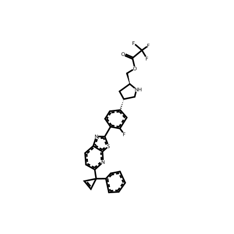 O=C(OC[C@@H]1C[C@@H](c2ccc(-c3nc4ccc(C5(c6ccccc6)C=C5)nc4s3)c(F)c2)CN1)C(F)(F)F